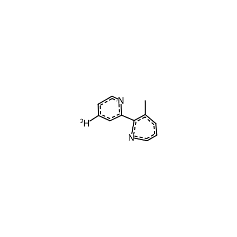 [2H]c1ccnc(-c2ncccc2C)c1